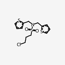 O=S(=O)(CCCCl)N(Cc1cccs1)Cc1cccs1